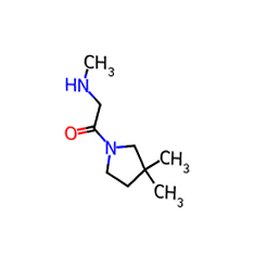 CNCC(=O)N1CCC(C)(C)C1